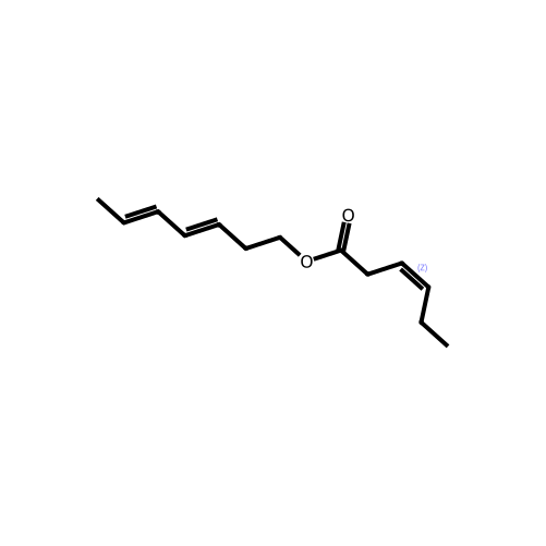 CC=CC=CCCOC(=O)C/C=C\CC